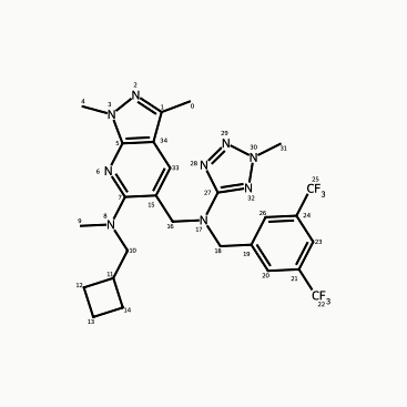 Cc1nn(C)c2nc(N(C)CC3CCC3)c(CN(Cc3cc(C(F)(F)F)cc(C(F)(F)F)c3)c3nnn(C)n3)cc12